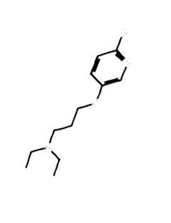 CCN(CC)CCCOc1ccc(Br)nc1